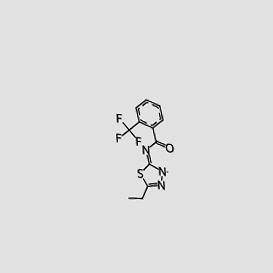 CCC1=N[N]C(=NC(=O)c2ccccc2C(F)(F)F)S1